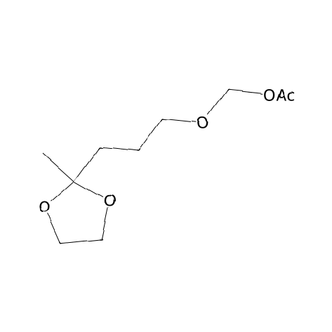 CC(=O)OCOCCCC1(C)OCCO1